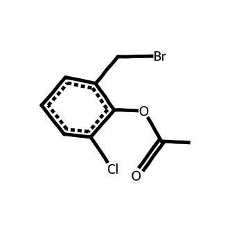 CC(=O)Oc1c(Cl)cccc1CBr